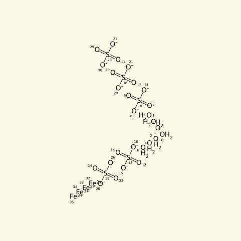 O.O.O.O.O.O.O.O=S(=O)([O-])[O-].O=S(=O)([O-])[O-].O=S(=O)([O-])[O-].O=S(=O)([O-])[O-].O=S(=O)([O-])[O-].[Fe+2].[Fe+2].[Fe+3].[Fe+3]